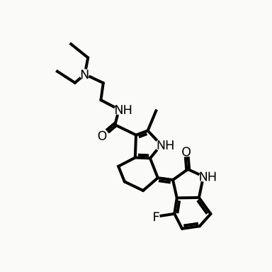 CCN(CC)CCNC(=O)c1c(C)[nH]c2c1CCC/C2=C1/C(=O)Nc2cccc(F)c21